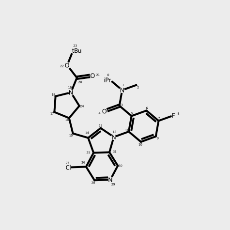 CC(C)N(C)C(=O)c1cc(F)ccc1-n1cc(CC2CCN(C(=O)OC(C)(C)C)C2)c2c(Cl)cncc21